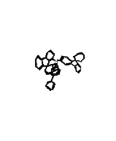 c1ccc(-c2ccc(N(c3ccc4c(c3)-c3ccccc3C43CCCCC3)c3cccc4c3C3(c5ccccc5-4)C4CC5CC(C4)CC3C5)cc2)cc1